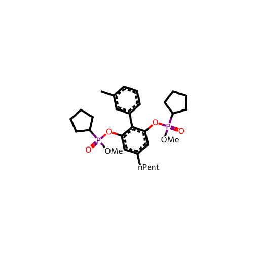 CCCCCc1cc(OP(=O)(OC)C2CCCC2)c(-c2cccc(C)c2)c(OP(=O)(OC)C2CCCC2)c1